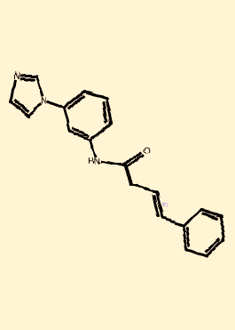 O=C(C/C=C/c1ccccc1)Nc1cccc(-n2ccnc2)c1